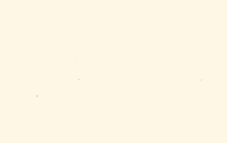 C=C1C(C(C)C)C(C)CC2(C)C(C)[C@]3(C)C(C(C)C4C(C)C(CC(O)OCC(C)(C)C)CCC4[C@H]3C)C(C)C12C